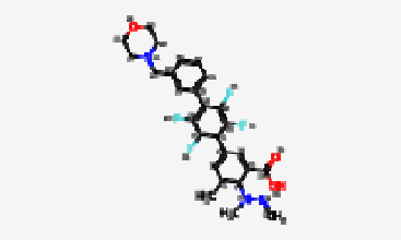 C=NN(C)c1c(C)cc(-c2c(F)c(F)c(-c3cccc(CN4CCOCC4)c3)c(F)c2F)cc1C(=O)O